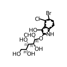 O=C[C@H](Oc1[nH]c2ccc(Br)c(Cl)c2c1O)[C@@H](O)[C@@H](O)[C@H](O)CO